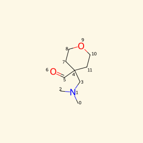 CN(C)CC1(C=O)CCOCC1